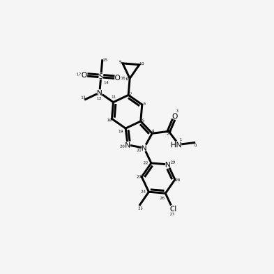 CNC(=O)c1c2cc(C3CC3)c(N(C)S(C)(=O)=O)cc2nn1-c1cc(C)c(Cl)cn1